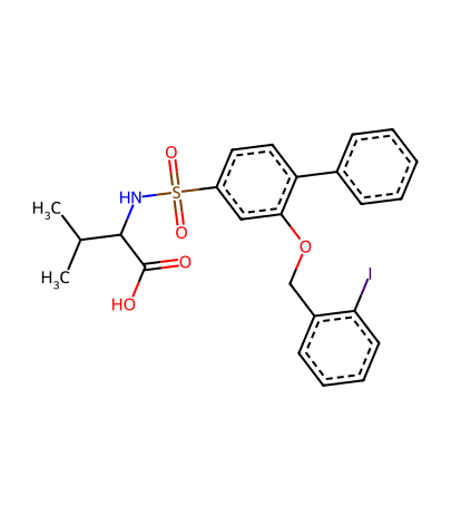 CC(C)C(NS(=O)(=O)c1ccc(-c2ccccc2)c(OCc2ccccc2I)c1)C(=O)O